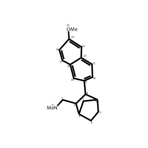 CNCC1C2CCC(C2)C1c1ccc2cc(OC)ccc2c1